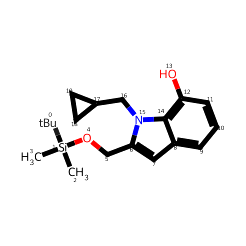 CC(C)(C)[Si](C)(C)OCc1cc2cccc(O)c2n1CC1CC1